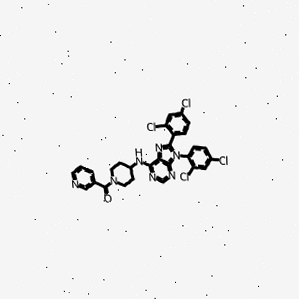 O=C(c1cccnc1)N1CCC(Nc2ncnc3c2nc(-c2ccc(Cl)cc2Cl)n3-c2ccc(Cl)cc2Cl)CC1